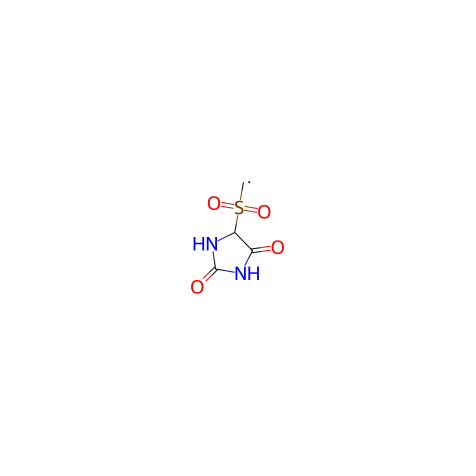 [CH2]S(=O)(=O)C1NC(=O)NC1=O